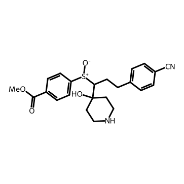 COC(=O)c1ccc([S+]([O-])C(CCc2ccc(C#N)cc2)C2(O)CCNCC2)cc1